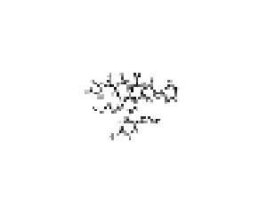 COc1ccc(F)cc1[C@H](Cn1c(=O)n([C@H](C)C(=O)NC2CCC2)c(=O)c2c(C)c(-n3cccn3)sc21)OCCC#N